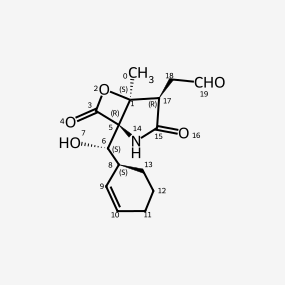 C[C@@]12OC(=O)[C@]1([C@@H](O)[C@@H]1C=CCCC1)NC(=O)[C@@H]2CC=O